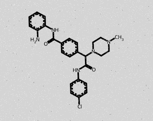 CN1CCN(C(C(=O)Nc2ccc(Cl)cc2)c2ccc(C(=O)Nc3ccccc3N)cc2)CC1